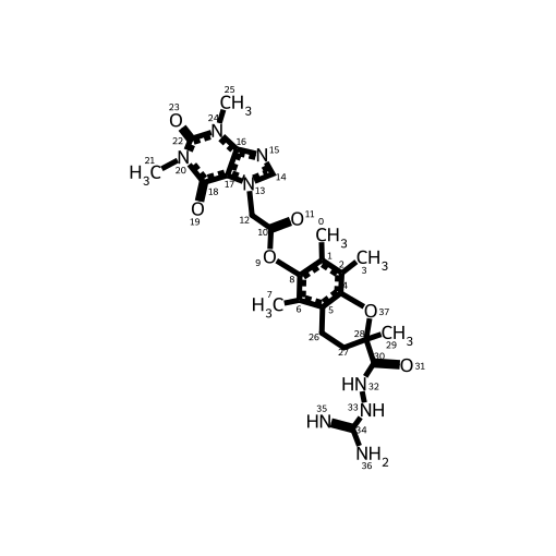 Cc1c(C)c2c(c(C)c1OC(=O)Cn1cnc3c1c(=O)n(C)c(=O)n3C)CCC(C)(C(=O)NNC(=N)N)O2